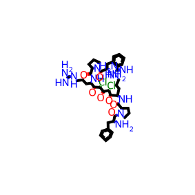 N=C(N)NCCCC(NC(=O)C1CCCN1C(=O)C(N)Cc1ccccc1)C(=O)C(Cl)C(=O)C(Cl)C(=O)C(CCCNC(=N)N)NC(=O)C1CCCN1C(=O)C(N)Cc1ccccc1